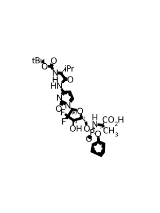 CC(C)[C@@H](NC(=O)OC(C)(C)C)C(=O)Nc1ccn([C@@H]2O[C@H](COP(=O)(N[C@@H](C)C(=O)O)Oc3ccccc3)[C@@H](O)C2(F)F)c(=O)n1